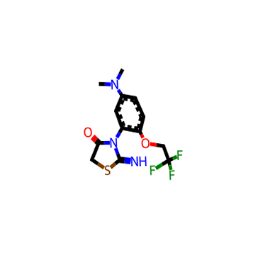 CN(C)c1ccc(OCC(F)(F)F)c(N2C(=N)SCC2=O)c1